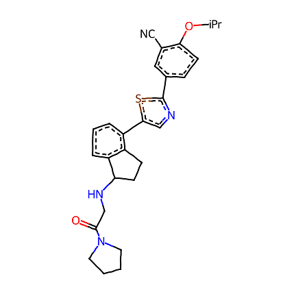 CC(C)Oc1ccc(-c2ncc(-c3cccc4c3CCC4NCC(=O)N3CCCC3)s2)cc1C#N